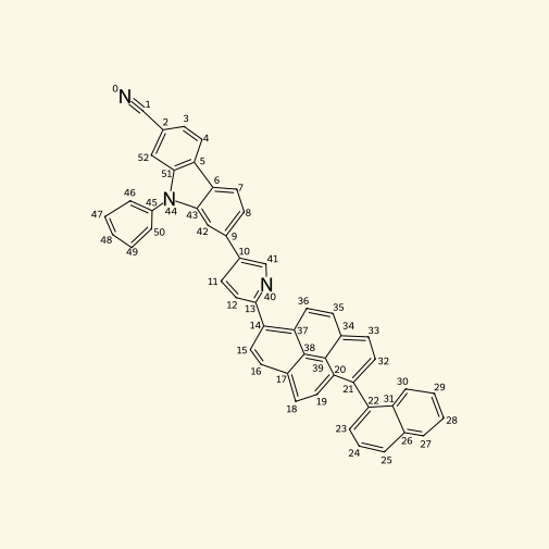 N#Cc1ccc2c3ccc(-c4ccc(-c5ccc6ccc7c(-c8cccc9ccccc89)ccc8ccc5c6c87)nc4)cc3n(-c3ccccc3)c2c1